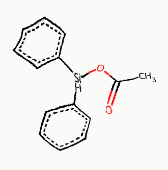 CC(=O)O[SiH](c1ccccc1)c1ccccc1